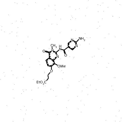 CCOC(=O)CCOc1ccc2c(=O)n(C)c(NC(=O)c3cnc(N)nc3)nc2c1OC